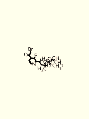 CC(C)(CCc1nccc(C(=O)CBr)c1F)O[Si](C)(C)C(C)(C)C